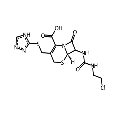 O=C(NCCCl)NC1C(=O)N2C(C(=O)O)=C(CSc3nnc[nH]3)CS[C@@H]12